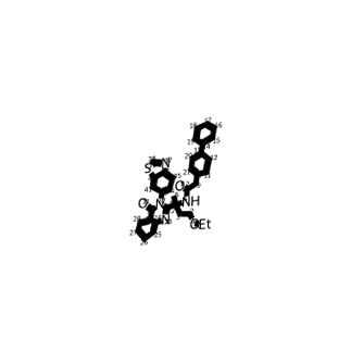 CCOCCC(C)(NC(=O)Cc1ccc(-c2ccccc2)cc1)c1nc2ccccc2c(=O)n1-c1ccc2ncsc2c1